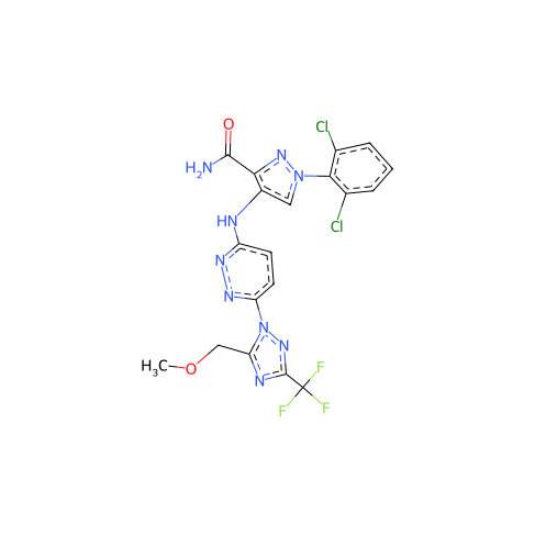 COCc1nc(C(F)(F)F)nn1-c1ccc(Nc2cn(-c3c(Cl)cccc3Cl)nc2C(N)=O)nn1